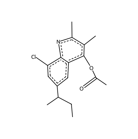 CCC(C)c1cc(Cl)c2nc(C)c(C)c(OC(C)=O)c2c1